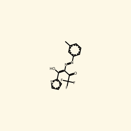 Cc1cccc(N=NC(C(=O)C(F)(F)F)=C(O)c2cccs2)c1